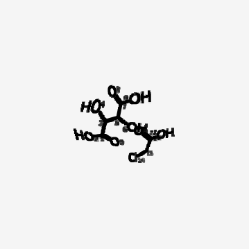 O=C(O)C(O)C(O)C(=O)O.O=C(O)CCl